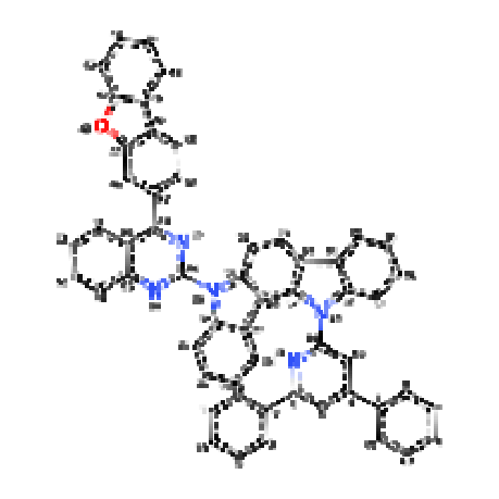 c1ccc(-c2cc(-c3ccccc3)nc(-n3c4ccccc4c4ccc5c(c6ccccc6n5-c5nc(-c6ccc7c(c6)oc6ccccc67)c6ccccc6n5)c43)c2)cc1